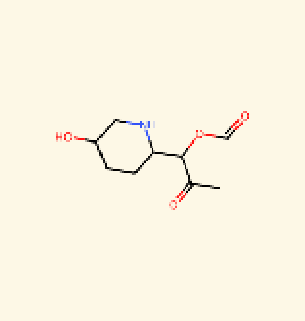 CC(=O)C(OC=O)C1CCC(O)CN1